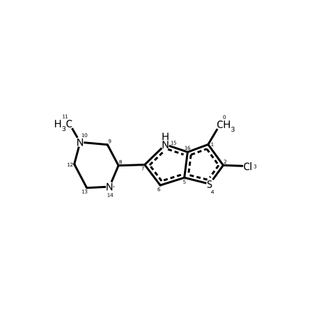 Cc1c(Cl)sc2cc(C3CN(C)CC[N]3)[nH]c12